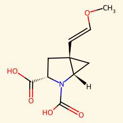 CO/C=C/[C@@]12C[C@@H]1N(C(=O)O)[C@H](C(=O)O)C2